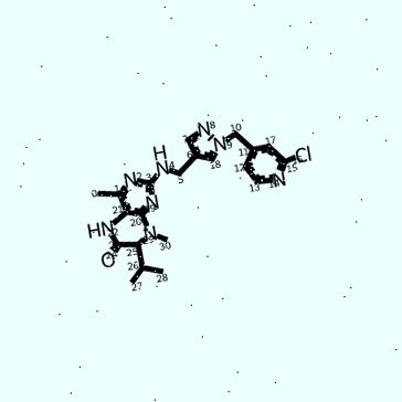 Cc1nc(NCc2cnn(Cc3ccnc(Cl)c3)c2)nc2c1NC(=O)C(C(C)C)N2C